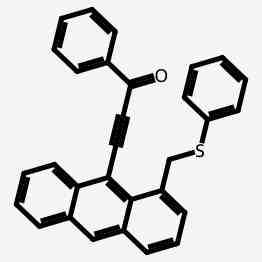 O=C(C#Cc1c2ccccc2cc2cccc(CSc3ccccc3)c12)c1ccccc1